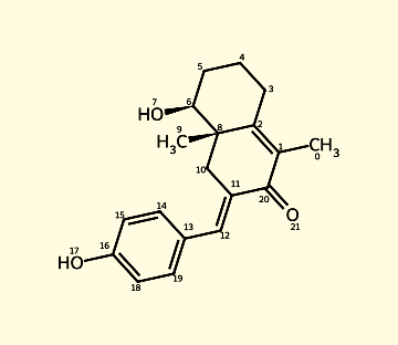 CC1=C2CCC[C@H](O)[C@@]2(C)CC(=Cc2ccc(O)cc2)C1=O